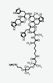 CC(NC(=O)C(N)CCCCNC(=O)CC(C)(C)OCCC(C)(C)OCCN=[N+]=[N-])C(=O)NC(Cc1c[nH]cn1)C(=O)NC(Cc1c[nH]cn1)C(=O)NC(C)C(=O)NC(Cc1c[nH]cn1)C(=O)NC(Cc1c[nH]cn1)C(=O)O